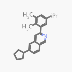 Cc1cc(C(C)C)cc(-c2cc3cc(C4CCCC4)ccc3cn2)c1C